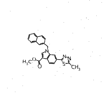 COC(=O)c1cn(Cc2ccc3ccccc3c2)c2cc(-c3nnc(C)s3)ccc12